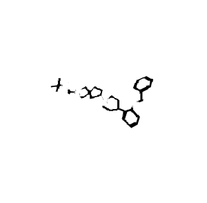 CC(C)(C)OC(=O)N1CC2(CC[C@@H](N3CCC(c4ccccc4OCc4ccccc4)CC3)C2)C1